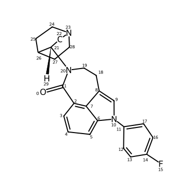 O=C1c2cccc3c2c(cn3-c2ccc(F)cc2)CCN1[C@H]1CN2CCC1CC2